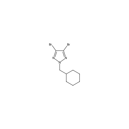 Brc1nn(CC2CCCCC2)nc1Br